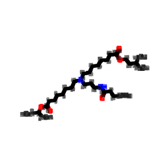 CCCCCCCCC(CCCCCCCC)OC(=O)CCCCCCCN(CCCCCCCC(=O)OCCC(CCCC)CCCC)CCCNC(=O)CCNC(C)=O